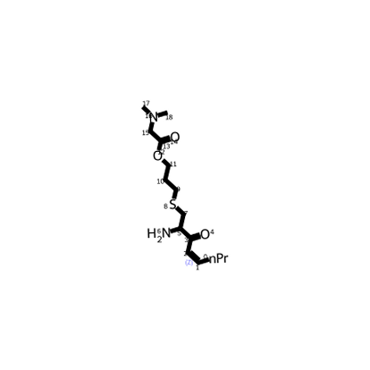 CCC/C=C\C(=O)C(N)CSCCCOC(=O)CN(C)C